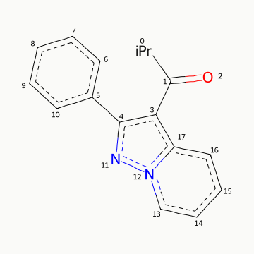 CC(C)C(=O)c1c(-c2ccccc2)nn2ccccc12